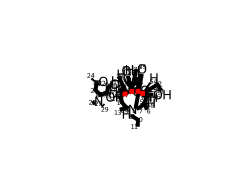 C=C1CO[C@@H]2[C@@H](C)CN(CCC)[C@H](C)C[C@@](C)(OC1)[C@H](O[C@@H]1O[C@H](C)C[C@H](N(C)C)[C@H]1O)[C@@H](C)[C@H](O)[C@@H](C)C(=O)O[C@H](CC)[C@@]2(C)O